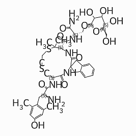 Cc1cc(O)cc(C)c1C[C@H](N)C(=O)N[C@@H]1CSCCSC(C)(C)[C@H](C(=O)N[C@@H](CO[C@@H]2O[C@H](CO)[C@@H](O)C(O)C2O)C(N)=O)NC(=O)C2(Cc3ccccc3C2)NC1=O